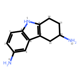 Nc1ccc2[nH]c3c(c2c1)CC(N)CC3